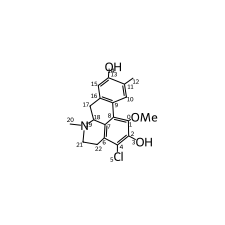 COc1c(O)c(Cl)c2c3c1-c1cc(C)c(O)cc1CC3N(C)CC2